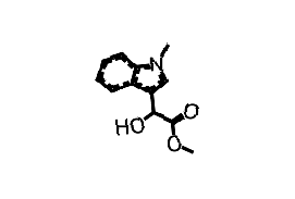 COC(=O)C(O)c1cn(C)c2ccccc12